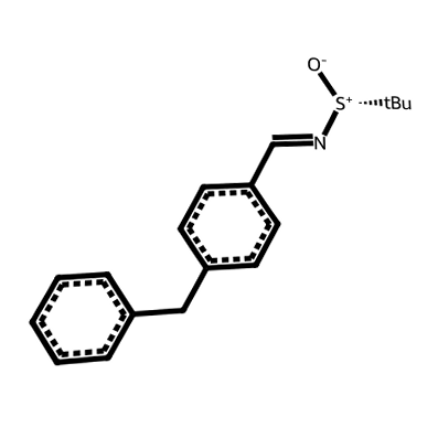 CC(C)(C)[S@@+]([O-])/N=C/c1ccc(Cc2ccccc2)cc1